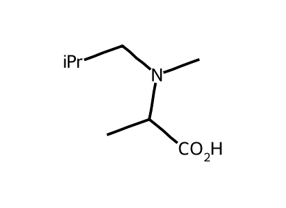 CC(C)CN(C)C(C)C(=O)O